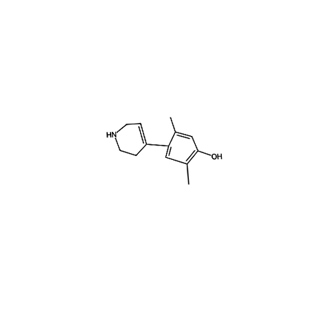 Cc1cc(C2=CCNCC2)c(C)cc1O